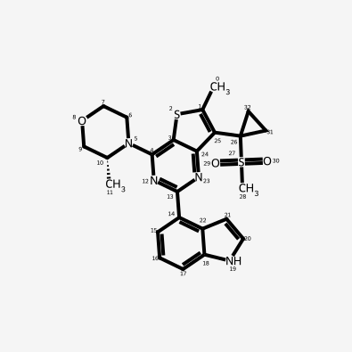 Cc1sc2c(N3CCOC[C@H]3C)nc(-c3cccc4[nH]ccc34)nc2c1C1(S(C)(=O)=O)CC1